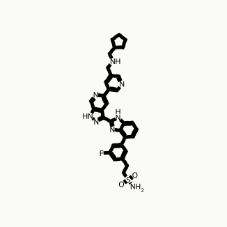 NS(=O)(=O)CCc1cc(F)cc(-c2cccc3[nH]c(-c4n[nH]c5cnc(-c6cncc(CNCC7CCCC7)c6)cc45)nc23)c1